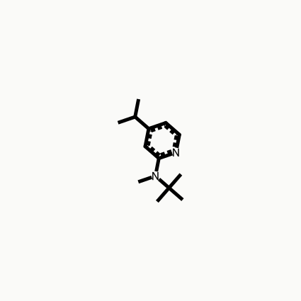 CC(C)c1ccnc(N(C)C(C)(C)C)c1